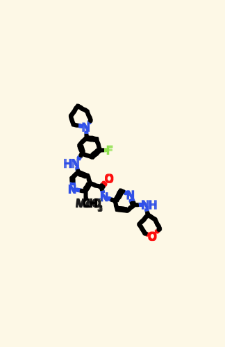 CON(C(=O)c1cc(Nc2cc(F)cc(N3CCCCC3)c2)cnc1C)c1ccc(NC2CCOCC2)nc1